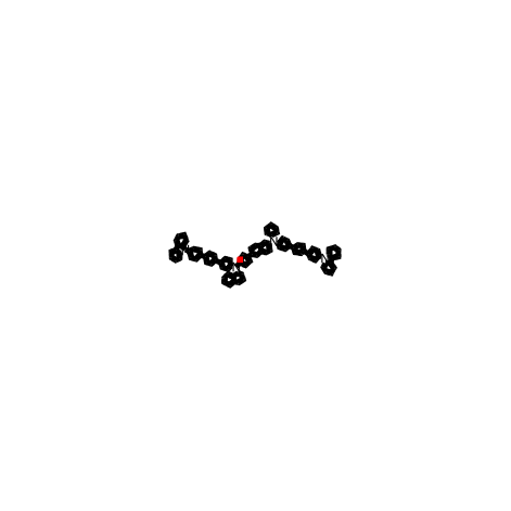 c1ccc(N(c2ccc(-c3ccc(-c4ccc(-n5c6ccccc6c6ccccc65)cc4)cc3)cc2)c2ccc3cc(-c4ccc(N(c5ccc(-c6ccc(-c7ccc(-n8c9ccccc9c9ccccc98)cc7)cc6)cc5)c5cccc6ccccc56)cc4)ccc3c2)cc1